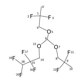 CC(F)(F)COC(OCC(C)(F)F)OCC(F)(F)C(F)F